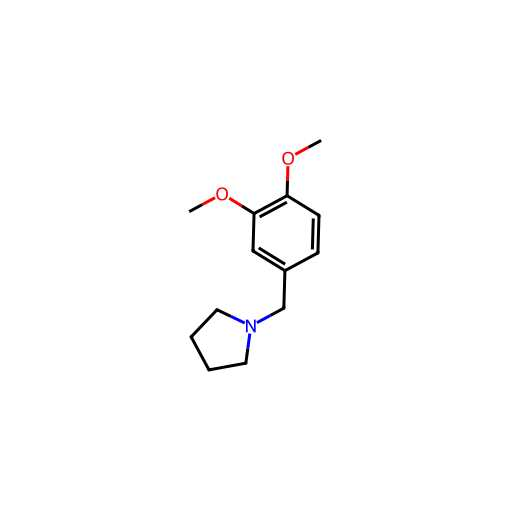 COc1ccc(CN2CCCC2)cc1OC